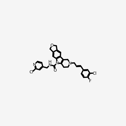 O=C(NCc1ccnc(Cl)c1)n1c2c(c3cc4c(cc31)COC4)CN(C/C=C/c1ccc(F)c(Cl)c1)CC2